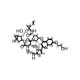 C=C[C@@H]1C[C@]1(NC(=O)[C@@H]1C[C@@H](Oc2cc(-c3csc(NC(C)C)n3)nc3cc(OCCO)ccc23)CN1C(=O)[C@@H](NC(=O)OC1CC2C[C@H]2C1)C(C)(C)C)C(=O)O